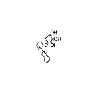 O[C@@H]1[C@@H](O)[C@H](Oc2cccnc2-c2cc3ccccc3o2)SC[C@H]1O